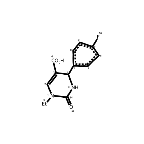 CCN1C=C(C(=O)O)C(c2ccc(F)cc2)NC1=O